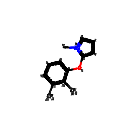 Cn1[c]ccc1Oc1cccc(C(F)(F)F)c1C(F)(F)F